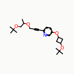 CC(COC(C)(C)C)OCC#Cc1ccc(OC2CC(OC(C)(C)C)C2)cn1